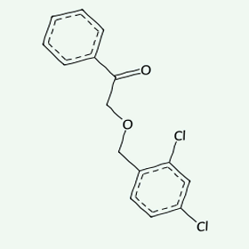 O=C(COCc1ccc(Cl)cc1Cl)c1ccccc1